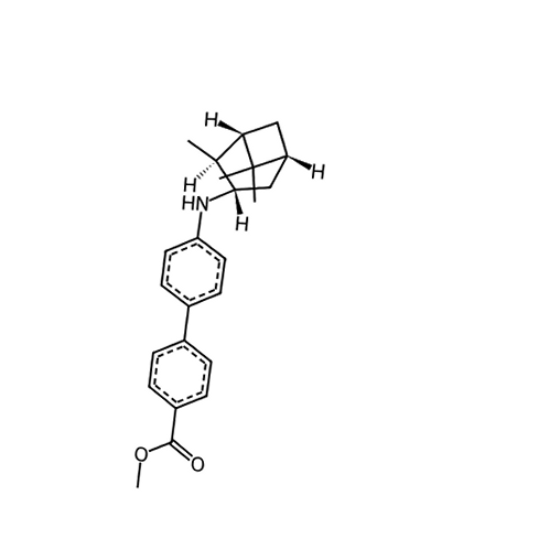 COC(=O)c1ccc(-c2ccc(N[C@H]3C[C@H]4C[C@@H]([C@@H]3C)C4(C)C)cc2)cc1